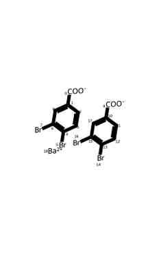 O=C([O-])c1ccc(Br)c(Br)c1.O=C([O-])c1ccc(Br)c(Br)c1.[Ba+2]